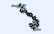 COC(=O)N[C@H](C(=O)N1CCC[C@H]1c1ncc(-c2ccc3cc(-c4ccc(-c5cnc(C6CCCN6C(=O)[C@@H](NC(=O)OC)C6CCSCC6)[nH]5)cc4)ccc3c2)[nH]1)C(C)C